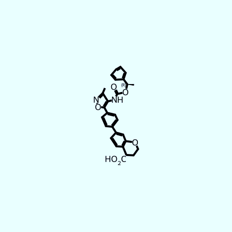 Cc1noc(-c2ccc(-c3ccc4c(c3)OCCC4C(=O)O)cc2)c1NC(=O)O[C@H](C)c1ccccc1